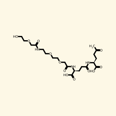 CC(=O)CC[C@H](NC(=O)CC[C@H](NC(=O)COCCOCCNC(=O)COCCO)C(=O)O)C(=O)O